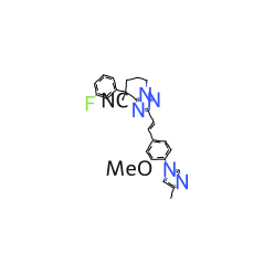 COc1cc(/C=C/c2nc3n(n2)CCC[C@@]3(C#N)c2cccc(F)c2)ccc1-n1cnc(C)c1